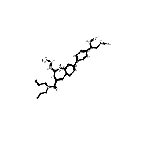 CCCN(CCC)C(=O)C1=CC2CC=C(c3ccc(C(CN=O)N=O)cc3)C=C2NC(N=NN)C1